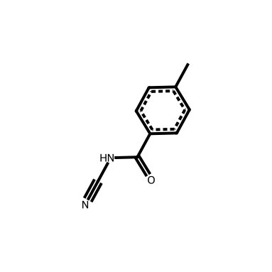 Cc1ccc(C(=O)NC#N)cc1